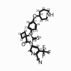 N#Cc1ncc(N2C(=O)C3(CCC3)N(c3ccc(OC4CCCNCC4)cc3)C2=S)cc1C(F)(F)F